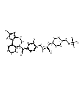 Cc1nc2c(o1)-c1ccccc1N(C(=O)c1ccc(CNC(=O)ON3CCN(CCC(C)(C)C)CC3)c(C)c1)CC2